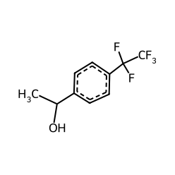 CC(O)c1ccc(C(F)(F)C(F)(F)F)cc1